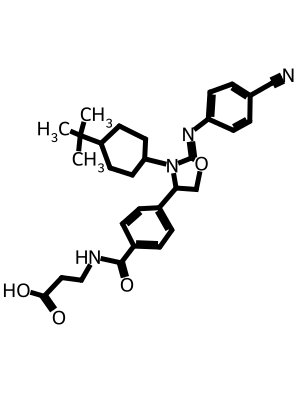 CC(C)(C)C1CCC(N2C(=Nc3ccc(C#N)cc3)OCC2c2ccc(C(=O)NCCC(=O)O)cc2)CC1